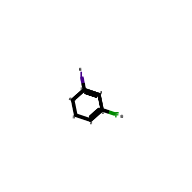 FC1=CC[CH]C(I)=C1